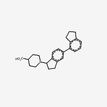 O=C(O)C1CCN(C2CCc3cc(-c4cccc5c4CCC5)ccc32)CC1